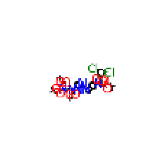 CC(C)(C)OC(=O)CN(c1ccc2c(ccn2-c2nccc(N(CCN(C(=O)OC(C)(C)C)C(=O)OC(C)(C)C)C(=O)OC(C)(C)C)n2)c1)S(=O)(=O)C1C=C(Cl)C=C(Cl)C1